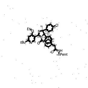 CCCCCNC(=O)CC1CCN(C(=O)N2C(c3cnc(C(C)(C)C)cc3OCC)=N[C@@](C)(c3ccc(Cl)cc3)[C@@]2(C)c2ccc(Cl)cc2)CC1